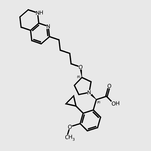 COc1cccc([C@H](C(=O)O)N2CC[C@@H](OCCCCc3ccc4c(n3)NCCC4)C2)c1C1CC1